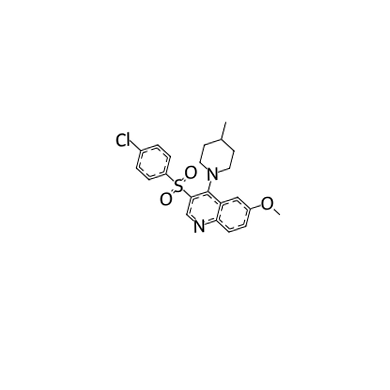 COc1ccc2ncc(S(=O)(=O)c3ccc(Cl)cc3)c(N3CCC(C)CC3)c2c1